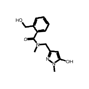 CN(Cc1cc(O)n(C)n1)C(=O)c1ccccc1CO